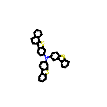 c1ccc2c(c1)ccc1c3ccc(N(c4ccc5c(c4)sc4ccccc45)c4ccc5sc6ccccc6c5c4)cc3sc21